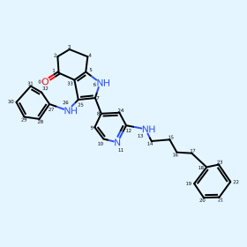 O=C1CCCc2[nH]c(-c3ccnc(NCCCCc4ccccc4)c3)c(Nc3ccccc3)c21